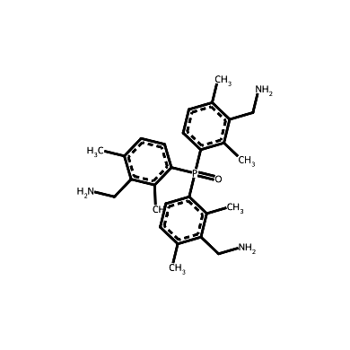 Cc1ccc(P(=O)(c2ccc(C)c(CN)c2C)c2ccc(C)c(CN)c2C)c(C)c1CN